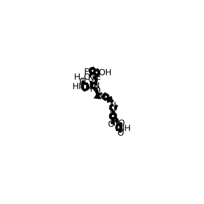 CCc1c(F)ccc2cc(O)cc(-c3ncc4c(N5CCCNC(=O)C5)nc(OCC5(CN6CCC7(CC6)CC(CN6CCN(c8ccc9c(c8)CN([C@H]8CCC(=O)NC8=O)C9=O)CC6)C7)CC5)nc4c3F)c12